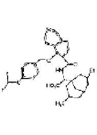 CCC1CC2CC(C)C[C@@](C(NC(=O)c3ccc4ccccc4c3OCc3ccc(OC(F)F)cc3)C(=O)O)(C1)C2